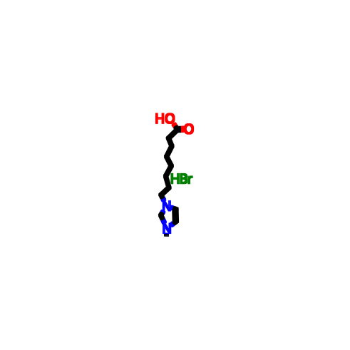 Br.CN1C=CN(CCCCCCCC(=O)O)C1